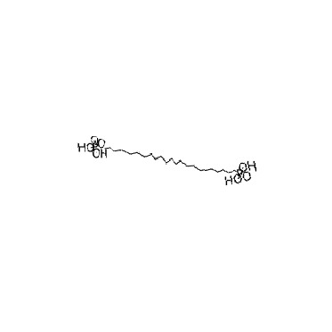 O=P(O)(O)CCCCCCCCCCCCCCCCCCCCCCOP(=O)(O)O